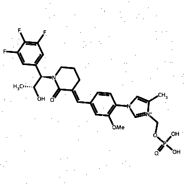 COc1cc(/C=C2\CCCN([C@H](c3cc(F)c(F)c(F)c3)[C@@H](C)O)C2=O)ccc1-n1cc(C)[n+](COP(=O)(O)O)c1